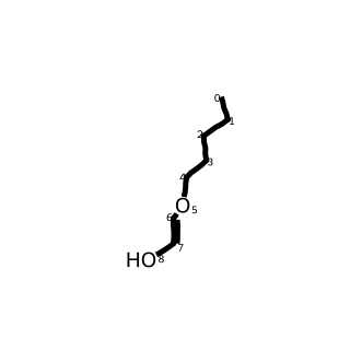 CCCCCOC=CO